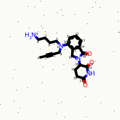 CC#CCN(CCCCN)c1cccc2c1CN(C1CCC(=O)NC1=O)C2=O